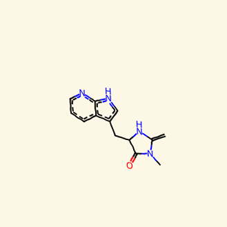 C=C1NC(Cc2c[nH]c3ncccc23)C(=O)N1C